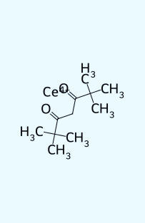 CC(C)(C)C(=O)CC(=O)C(C)(C)C.[Ce+4]